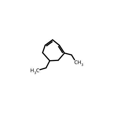 CCC1=CC=CCC(CC)C1